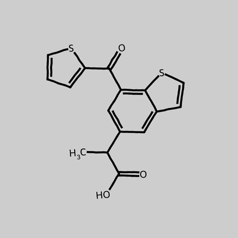 CC(C(=O)O)c1cc(C(=O)c2cccs2)c2sccc2c1